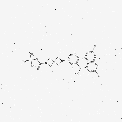 CN(c1cccc(N2CC3(CN(C(=O)OC(C)(C)C)C3)C2)c1)c1nc(Cl)nc2cc(Cl)ccc12